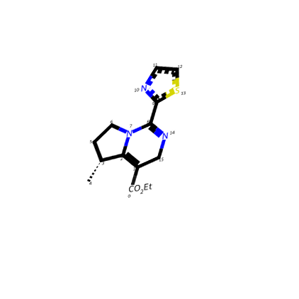 CCOC(=O)C1=C2[C@H](C)CCN2C(c2nccs2)=NC1